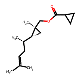 CC(C)=CC[C@H](C)[C@H]1C[C@]1(C)COC(=O)C1CC1